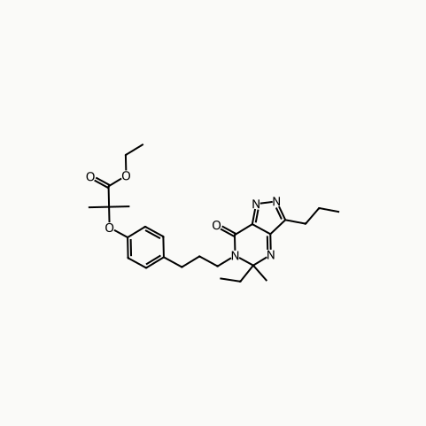 CCCC1=NN=C2C(=O)N(CCCc3ccc(OC(C)(C)C(=O)OCC)cc3)C(C)(CC)N=C12